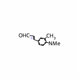 CNc1ccc(/C=C/C=O)cc1C